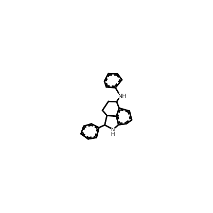 c1ccc(NC2CCC3c4c(cccc42)NC3c2ccccc2)cc1